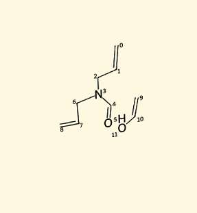 C=CCN(C=O)CC=C.C=CO